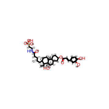 COc1cc(/C=C/C(=O)O[C@@H]2CC[C@@]3(C)C(C2)C[C@H](O)[C@H]2C4CC[C@H]([C@H](C)CCC(=O)NCCS(=O)(=O)O)[C@@]4(C)CC[C@@H]23)ccc1O